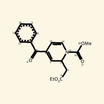 CCOC(=O)CC1C=C(C(=O)c2ccccc2)C=CN1C(=O)OC